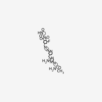 C[C@@H]1OCC2(CCN(c3cnc(Sc4ccnc(N5CCN(Cc6cc(F)c7c(c6)C(=O)N(C6CCC(=O)NC6=O)C7=O)CC5)c4)c(N)n3)CC2)[C@@H]1N